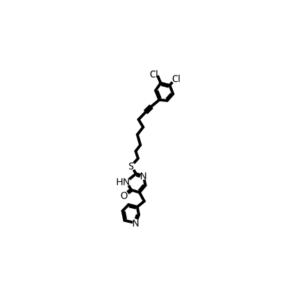 O=c1[nH]c(SCCCCCCC#Cc2ccc(Cl)c(Cl)c2)ncc1Cc1cccnc1